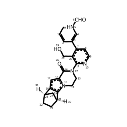 C/C=C\C(=C/NC=O)c1ccnc(N2CCn3c(cc4c3[C@H]3CC[C@@H]4C3)C2=O)c1CO